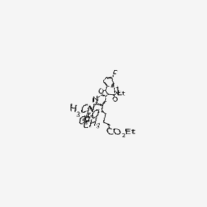 CCNC(=O)c1c(-c2ccc(F)cc2)oc2nc(N(C)S(C)(=O)=O)c(CCCCC(=O)OCC)cc12